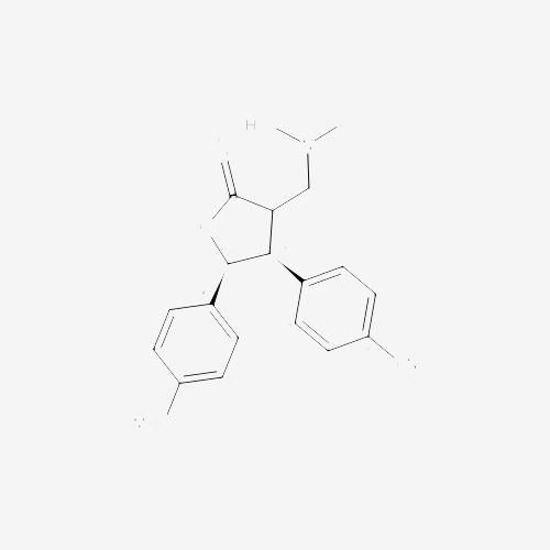 COc1ccc([C@H]2OC(=O)C(CN(C)C)[C@H]2c2ccc(C#N)cc2)cc1